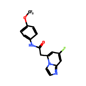 O=C(Cc1cc(F)cc2nccn12)Nc1ccc(OC(F)(F)F)cc1